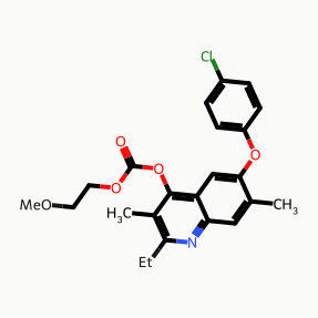 CCc1nc2cc(C)c(Oc3ccc(Cl)cc3)cc2c(OC(=O)OCCOC)c1C